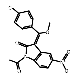 COC(=C1C(=O)N(C(C)=O)c2ccc([N+](=O)[O-])cc21)c1ccc(Cl)cc1